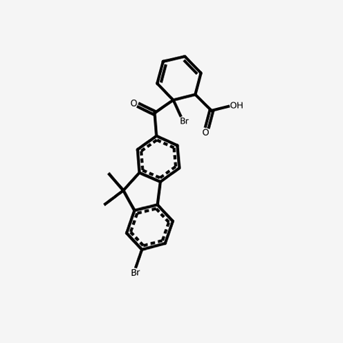 CC1(C)c2cc(Br)ccc2-c2ccc(C(=O)C3(Br)C=CC=CC3C(=O)O)cc21